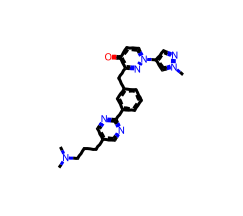 CN(C)CCCc1cnc(-c2cccc(Cc3nn(-c4cnn(C)c4)ccc3=O)c2)nc1